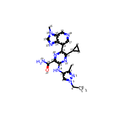 Cc1nn(CC(F)(F)F)cc1Nc1nc(C2CC2)c(-c2cncc3c2ncn3C)nc1C(N)=O